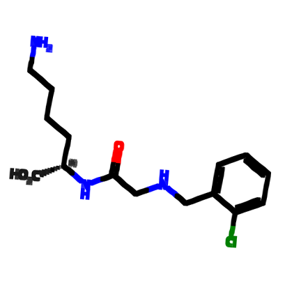 NCCCC[C@H](NC(=O)CNCc1ccccc1Cl)C(=O)O